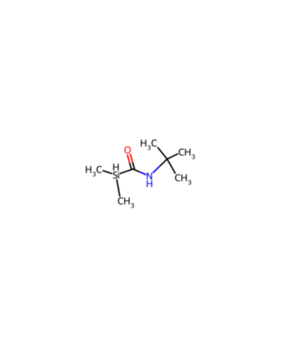 C[SiH](C)C(=O)NC(C)(C)C